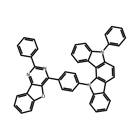 c1ccc(-c2nc(-c3ccc(-n4c5ccccc5c5ccc6c(c7ccccc7n6-c6ccccc6)c54)cc3)c3oc4ccccc4c3n2)cc1